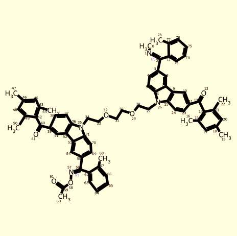 C/N=C(/c1ccc2c(c1)c1cc(C(=O)c3c(C)cc(C)cc3C)ccc1n2CCOCCOCCn1c2ccc(C(=O)c3c(C)cc(C)cc3C)cc2c2cc(/C(=N/OC(C)=O)c3ccccc3C)ccc21)c1ccccc1C